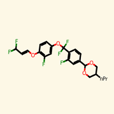 CCCC1COC(c2ccc(C(F)(F)Oc3ccc(O/C=C/C(F)F)c(F)c3)c(F)c2)OC1